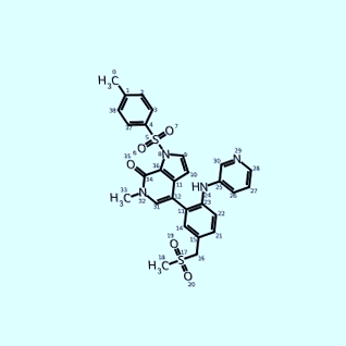 Cc1ccc(S(=O)(=O)n2ccc3c(-c4cc(CS(C)(=O)=O)ccc4Nc4cccnc4)cn(C)c(=O)c32)cc1